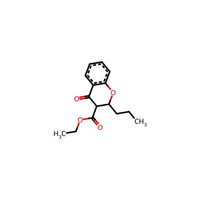 CCCC1Oc2ccccc2C(=O)C1C(=O)OCC